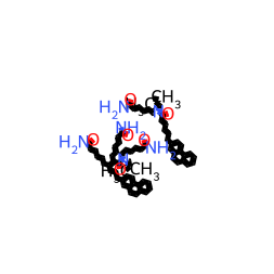 CC(C)CN(C/C=C/C=C/C(N)=O)C(=O)C(C/C=C/C=C/C(N)=O)=C(C=CCc1ccc2c(ccc3ccccc32)c1)C/C=C/C=C/C(N)=O.CC(C)CN(C/C=C/C=C/C(N)=O)C(=O)C=CC=CCc1ccc2c(ccc3ccccc32)c1